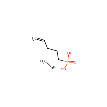 C=CCCCP(=O)(O)O.CCCC